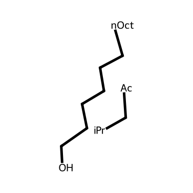 CC(=O)CC(C)C.CCCCCCCCCCCCCCO